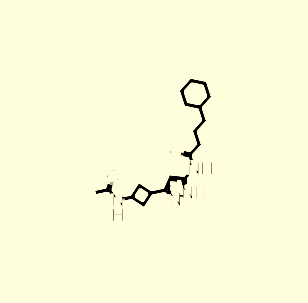 CC(=O)NC1CC(c2cc(NC(=O)CCCC3CCCCC3)[nH]n2)C1